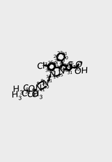 CC(C)(C)OC(=O)N1CCN(CCN2CCn3c(c(C4CCCCC4)c4sc(C(=O)O)cc43)-c3ccc(Cl)cc32)CC1